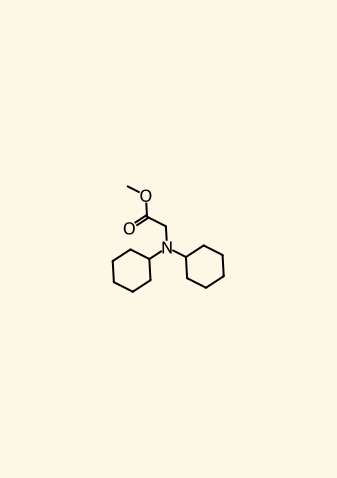 COC(=O)CN(C1CCCCC1)C1CCCCC1